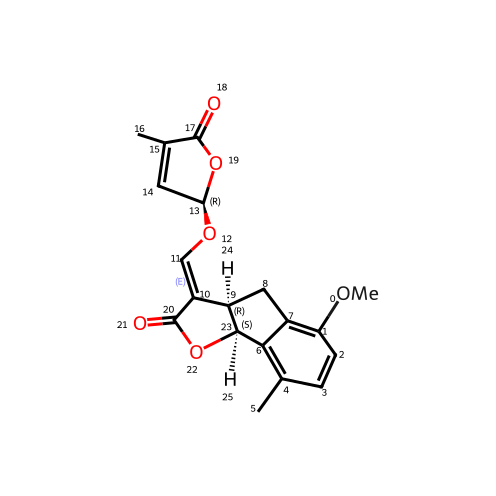 COc1ccc(C)c2c1C[C@@H]1/C(=C\O[C@H]3C=C(C)C(=O)O3)C(=O)O[C@H]21